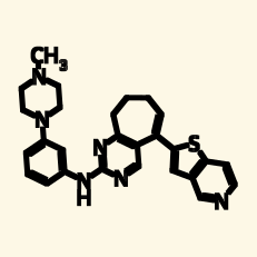 CN1CCN(c2cccc(Nc3ncc4c(n3)CCCC=C4c3cc4cnccc4s3)c2)CC1